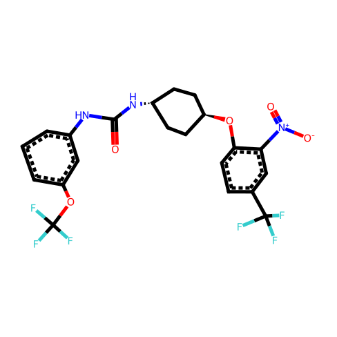 O=C(Nc1cccc(OC(F)(F)F)c1)N[C@H]1CC[C@H](Oc2ccc(C(F)(F)F)cc2[N+](=O)[O-])CC1